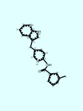 Cc1cccc(C(=O)Nc2ccc(Cc3c[nH]c4ncccc34)cn2)c1